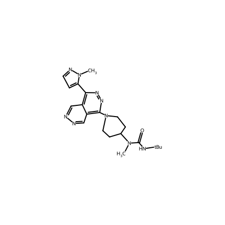 CN(C(=O)NC(C)(C)C)C1CCN(c2nnc(-c3ccnn3C)c3cnncc23)CC1